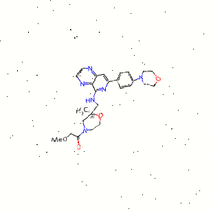 COCC(=O)N1CCO[C@](C)(CNc2nc(-c3ccc(N4CCOCC4)cc3)cc3nccnc23)C1